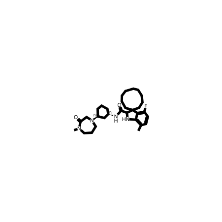 Cc1ccc(F)c2c1NC(C(=O)N[C@H]1CCC[C@H](N3CCCN(C)C(=O)C3)C1)C21CCCCCCCCC1